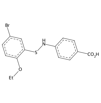 CCOc1ccc(Br)cc1SNc1ccc(C(=O)O)cc1